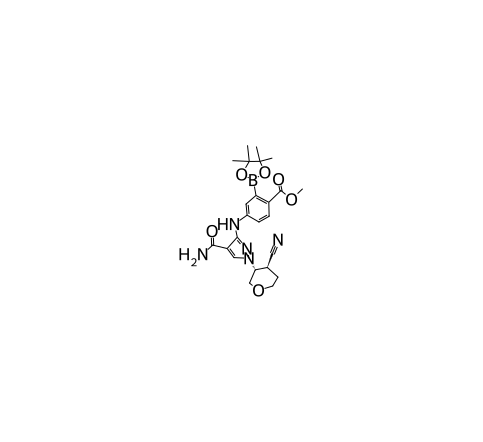 COC(=O)c1ccc(Nc2nn([C@H]3COCC[C@@H]3C#N)cc2C(N)=O)cc1B1OC(C)(C)C(C)(C)O1